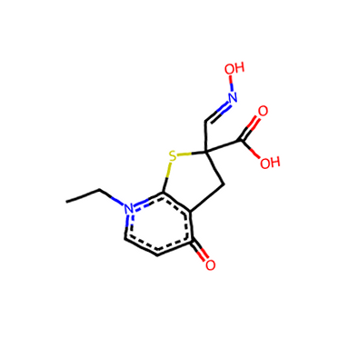 CCn1ccc(=O)c2c1SC(C=NO)(C(=O)O)C2